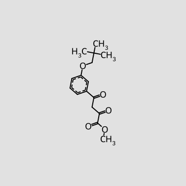 COC(=O)C(=O)CC(=O)c1cccc(OCC(C)(C)C)c1